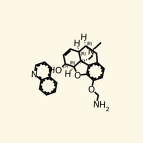 CN1CC[C@]23c4c5ccc(OCN)c4O[C@H]2[C@@H](O)C=C[C@H]3[C@H]1C5.c1ccc2ncccc2c1